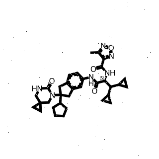 Cc1nonc1C(=O)N[C@H](C(=O)Nc1ccc2c(c1)CC(C1CCCC1)(N1CC3(CC3)CNC1=O)C2)C(C1CC1)C1CC1